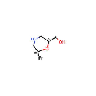 CC(C)[C@H]1CNC[C@@H](CO)O1